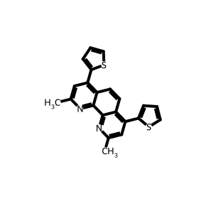 Cc1cc(-c2cccs2)c2ccc3c(-c4cccs4)cc(C)nc3c2n1